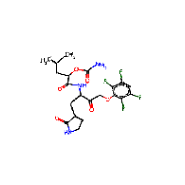 CC(C)CC(OC(N)=O)C(=O)NC(CC1CCNC1=O)C(=O)COc1c(F)c(F)cc(F)c1F